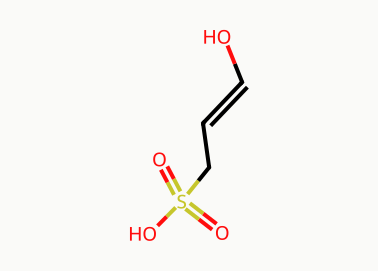 O=S(=O)(O)CC=CO